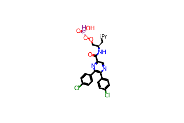 CC(C)C[C@H](COO[PH](=O)O)NC(=O)c1cnc(-c2ccc(Cl)cc2)c(-c2ccc(Cl)cc2)n1